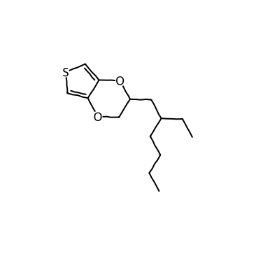 CCCCC(CC)CC1COc2cscc2O1